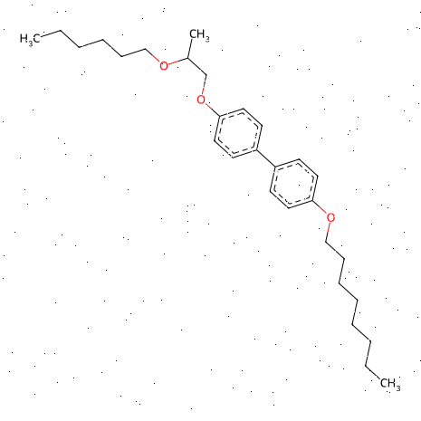 CCCCCCCCOc1ccc(-c2ccc(OCC(C)OCCCCCC)cc2)cc1